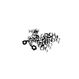 CC[C@H](C)[C@@H]([C@@H](CC(=O)N1CCC[C@H]1[C@H](OC)[C@@H](C)C(=O)N[C@H](COCc1ccccc1)Cc1ccccc1)OC)N(C)C(=O)[C@@H](NC(=O)[C@@H](NC)C(C)C)C(C)C.O=C(O)C(F)(F)F